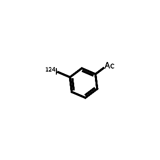 CC(=O)c1cccc([124I])c1